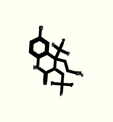 CCCC1(C(F)(F)F)c2cc(Cl)ccc2NC(=O)N1CC(F)(F)F